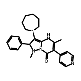 CC1=C(c2ccncc2)C(=O)N2C(=C(N3CCCCCC3)C(c3ccccc3)N2C)N1